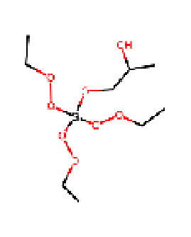 CCOO[Si](OCC(C)O)(OOCC)OOCC